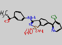 CC(=O)c1ccc(NC2=NS(O)(O)c3cc(-c4ncccc4Cl)ccc32)cc1